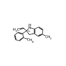 C=C[C@]1(c2ccccc2C)Cc2cc(C)ccc2N1